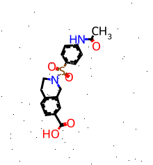 CC(=O)Nc1ccc(S(=O)(=O)N2CCc3ccc(C(=O)O)cc3C2)cc1